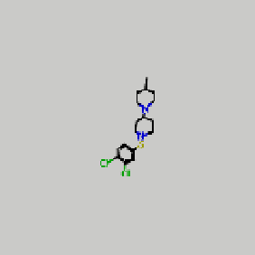 CC1CCN(C2CCN(Sc3ccc(Cl)c(Cl)c3)CC2)CC1